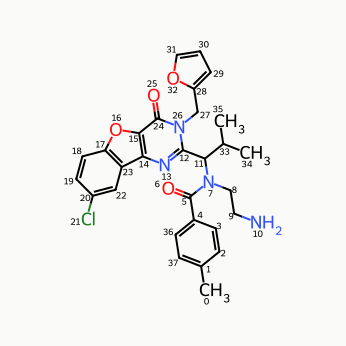 Cc1ccc(C(=O)N(CCN)C(c2nc3c(oc4ccc(Cl)cc43)c(=O)n2Cc2ccco2)C(C)C)cc1